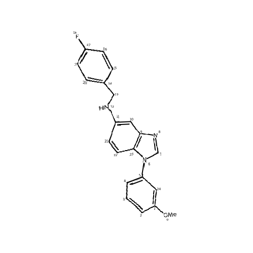 COc1cccc(-n2cnc3cc(NCc4ccc(F)cc4)ccc32)c1